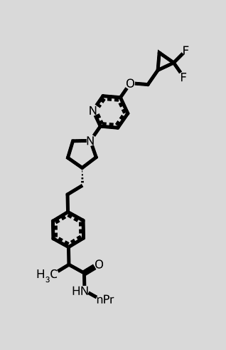 CCCNC(=O)C(C)c1ccc(CC[C@@H]2CCN(c3ccc(OCC4CC4(F)F)cn3)C2)cc1